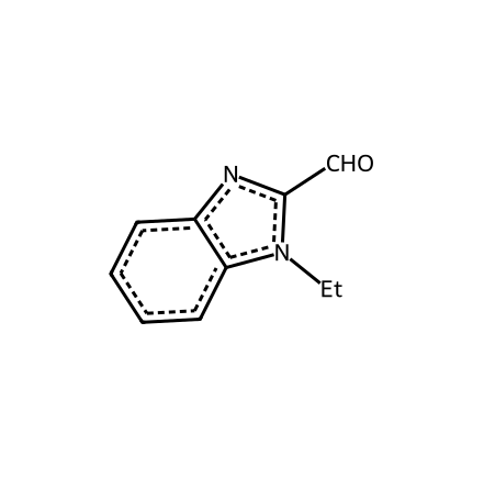 CCn1c(C=O)nc2ccccc21